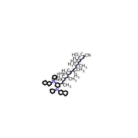 CCCCCCC(/C=C(C)/C(C)=C/C(C)=C(C)/C(C)=C(C)/C=C(C)/C=C(/C#N)C(=O)O)=C(C)\C(C)=C\C(CCCCCC)=C(/C)c1cc(N(c2ccccc2)c2ccc3ccccc3c2)cc(N(c2ccccc2)c2ccc3ccccc3c2)c1